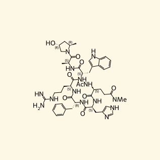 CNC(=O)CC[C@H](NC(C)=O)C(=O)N[C@@H](Cc1c[nH]cn1)C(=O)N[C@H](Cc1ccccc1)C(=O)N[C@@H](CCCNC(=N)N)C(=O)N[C@@H](Cc1c[nH]c2ccccc12)C(=O)N[C@@H](C)C(=O)N1C[C@H](O)C[C@H]1C